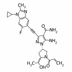 C=CC(=O)N1C[C@@H](n2nc(C#Cc3cc4nc(C)n(C5CC5)c4cc3F)c(C(N)=O)c2N)C/C1=C(\C)O